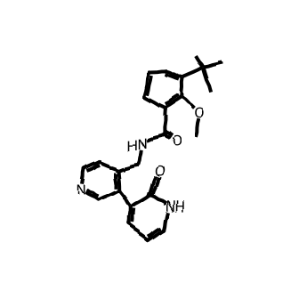 COc1c(C(=O)NCc2ccncc2-c2ccc[nH]c2=O)cccc1C(C)(C)C